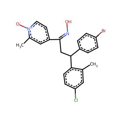 Cc1cc(Cl)ccc1C(CC(=NO)c1cc[n+]([O-])c(C)c1)c1ccc(Br)cc1